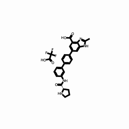 Cc1nc2c(C(=O)O)cc(-c3ccc(-c4cccc(NC(=O)[C@@H]5CCCN5)c4)cc3)cc2[nH]1.O=C(O)C(F)(F)F